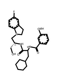 COc1cccc(C(=O)NC(CC2CCCCC2)C(=O)N[C@H](CO)CN2CCc3cc(F)ccc32)c1